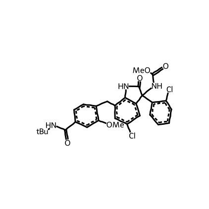 COC(=O)NC1(c2ccccc2Cl)C(=O)Nc2c(Cc3ccc(C(=O)NC(C)(C)C)cc3OC)cc(Cl)cc21